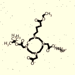 CCOC(=O)CCCCN1CCN(CC(=O)[O-])CCN(CC(=O)[O-])CCN(CC(=O)OC(C)(C)C)CC1.[Br-].[Na+].[Na+].[Na+]